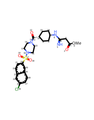 COC(=O)CC(=N)N[C@H]1CC[C@H](C(=O)N2CCN(S(=O)(=O)c3ccc4cc(Cl)ccc4c3)CC2)CC1